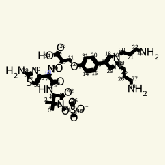 CC1(C)[C@H](NC(=O)/C(=N\OC(COc2ccc(-c3cn(CCCN)[n+](CCCN)c3)cc2)C(=O)O)c2csc(N)n2)C(=O)N1OS(=O)(=O)[O-]